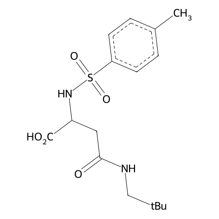 Cc1ccc(S(=O)(=O)NC(CC(=O)NCC(C)(C)C)C(=O)O)cc1